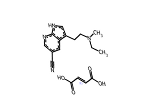 CCN(C)CCc1c[nH]c2ncc(C#N)cc12.O=C(O)/C=C/C(=O)O